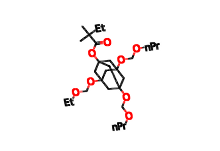 CCCOCOC12CC3(OCOCC)CC(OCOCCC)(C1)CC(OC(=O)C(C)(C)CC)(C3)C2